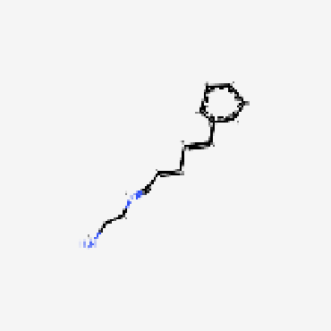 NCCN=CC=C/C=C/c1ccccc1